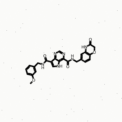 COc1cccc(CNC(=O)c2c[nH]c3c(C(=O)NCc4ccc5c(c4)NC(=O)CO5)ncnc23)c1